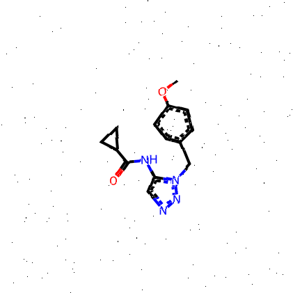 COc1ccc(Cn2nncc2NC(=O)C2CC2)cc1